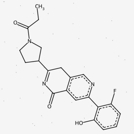 CCC(=O)N1CCC(C2=NC(=O)c3cc(-c4c(O)cccc4F)ncc3C2)C1